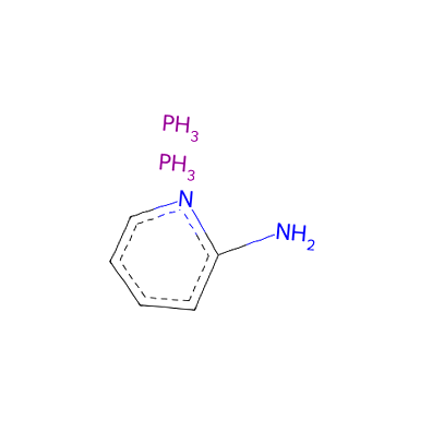 Nc1ccccn1.P.P